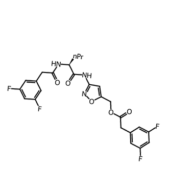 CCC[C@H](NC(=O)Cc1cc(F)cc(F)c1)C(=O)Nc1cc(COC(=O)Cc2cc(F)cc(F)c2)on1